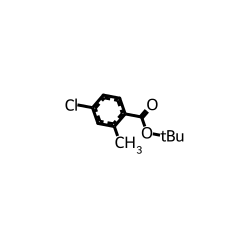 Cc1cc(Cl)ccc1C(=O)OC(C)(C)C